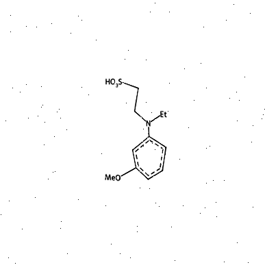 CCN(CCS(=O)(=O)O)c1cccc(OC)c1